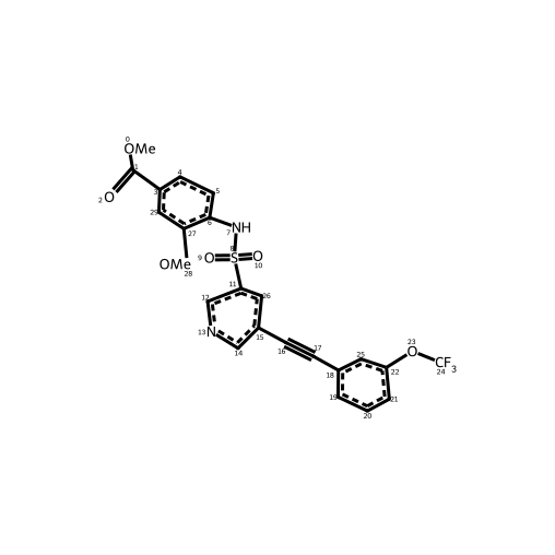 COC(=O)c1ccc(NS(=O)(=O)c2cncc(C#Cc3cccc(OC(F)(F)F)c3)c2)c(OC)c1